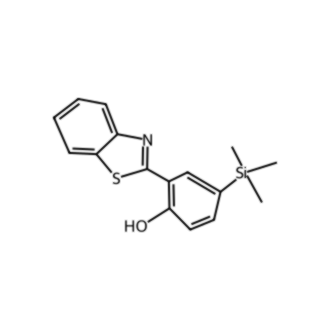 C[Si](C)(C)c1ccc(O)c(-c2nc3ccccc3s2)c1